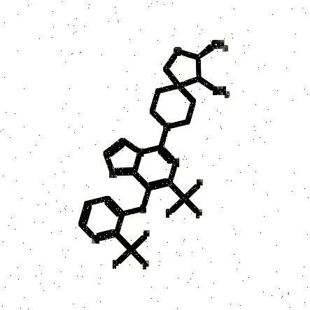 C[C@@H]1OCC2(CCN(c3nc(C(F)(F)F)c(Sc4cccnc4C(F)(F)F)c4nccn34)CC2)C1N